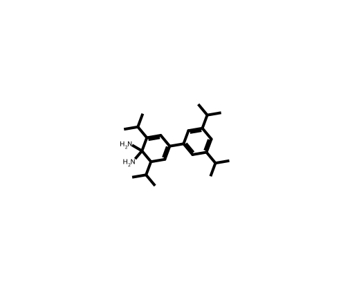 CC(C)C1=CC(c2cc(C(C)C)cc(C(C)C)c2)=CC(C(C)C)C1(N)N